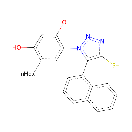 CCCCCCc1cc(-n2nnc(S)c2-c2cccc3ccccc23)c(O)cc1O